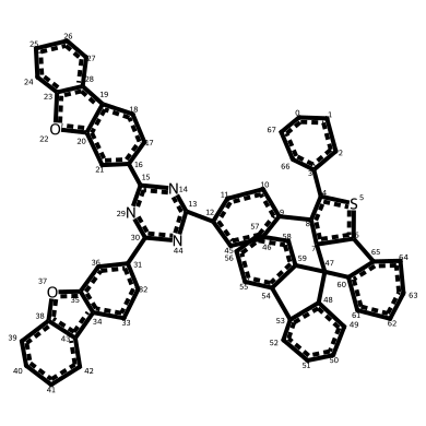 c1ccc(-c2sc3c(c2-c2ccc(-c4nc(-c5ccc6c(c5)oc5ccccc56)nc(-c5ccc6c(c5)oc5ccccc56)n4)cc2)C2(c4ccccc4-c4ccccc42)c2ccccc2-3)cc1